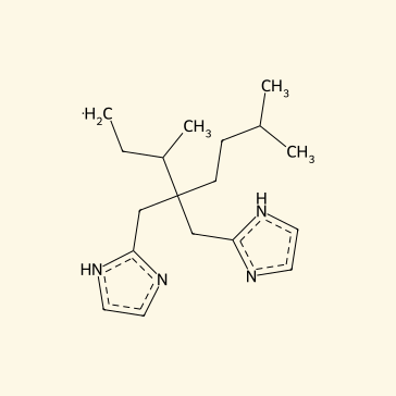 [CH2]CC(C)C(CCC(C)C)(Cc1ncc[nH]1)Cc1ncc[nH]1